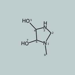 CN1CNC(O)C1O